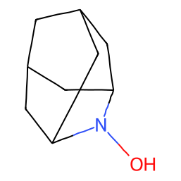 ON1C2CC3CC(C2)CC1C3